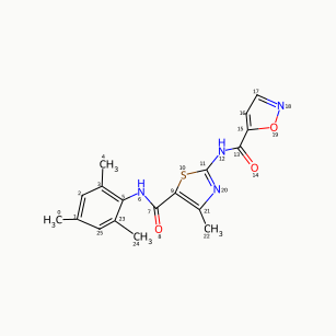 Cc1cc(C)c(NC(=O)c2sc(NC(=O)c3ccno3)nc2C)c(C)c1